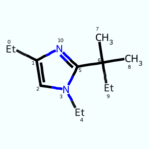 CCc1cn(CC)c(C(C)(C)CC)n1